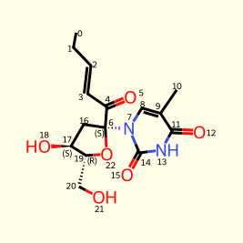 CCC=CC(=O)[C@]1(n2cc(C)c(=O)[nH]c2=O)C[C@H](O)[C@@H](CO)O1